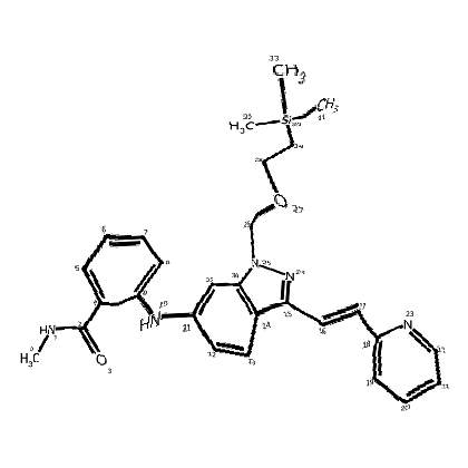 CNC(=O)c1ccccc1Nc1ccc2c(C=Cc3ccccn3)nn(COCC[Si](C)(C)C)c2c1